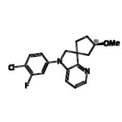 CO[C@@H]1CCC2(C1)CN(c1ccc(Cl)c(F)c1)c1cccnc12